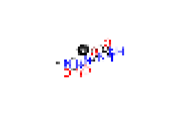 CCN1CCN(C(=O)N(CC(=O)NC2(OC)CNC2=O)c2ccccc2)C(=O)C1=O